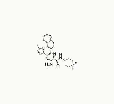 Cn1ccc(-c2nc(N)c(C(=O)NC3CCC(F)(F)CC3)nc2-c2ccc3ncccc3c2)n1